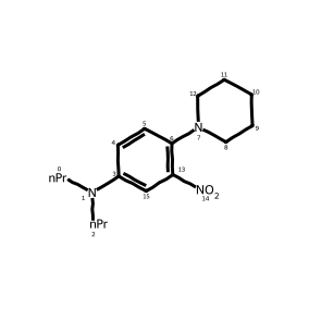 CCCN(CCC)c1ccc(N2CCCCC2)c([N+](=O)[O-])c1